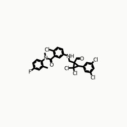 Cc1cc(F)ccc1N(C)C(=O)c1cc(NCC2(C=O)C(c3cc(Cl)cc(Cl)c3)C2(Cl)Cl)ccc1Cl